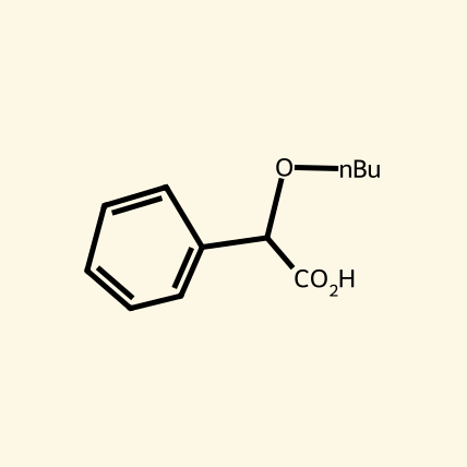 CCCCOC(C(=O)O)c1ccccc1